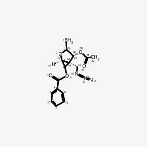 B[C@@H]1O[C@@H]2C(OC(=O)c3ccccc3)[C@]2(CN=[N+]=[N-])[C@H]1OC(C)=O